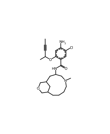 CC#CC(C)Oc1cc(N)c(Cl)cc1C(=O)NC1CC2COCC(CCCCN(C)C1)C2